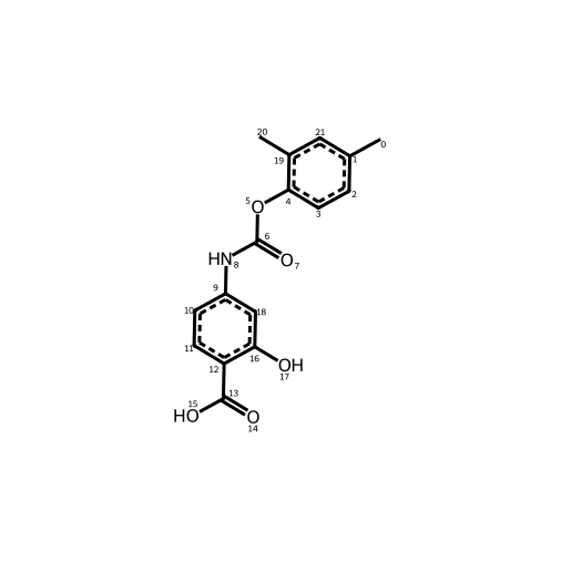 Cc1ccc(OC(=O)Nc2ccc(C(=O)O)c(O)c2)c(C)c1